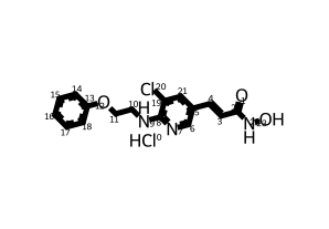 Cl.O=C(C=Cc1cnc(NCCOc2ccccc2)c(Cl)c1)NO